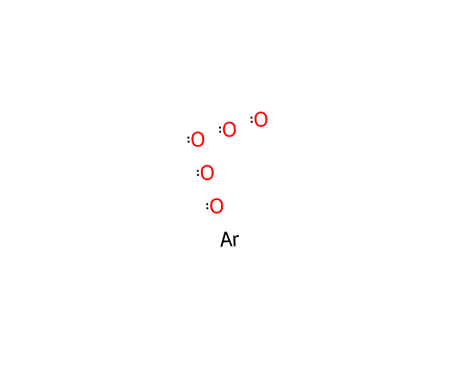 [Ar].[O].[O].[O].[O].[O]